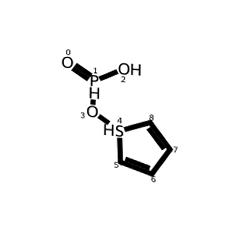 O=[PH](O)O[SH]1C=CC=C1